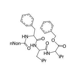 CCCCCCCCCC(=O)NC(Cc1ccccc1)C(=O)NC(CC(C)C)C(=O)NC(C(=O)OCc1ccccc1)C(C)C